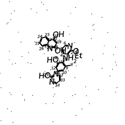 CCOc1ccccn1.Cc1cccc(O)c1N.Oc1cc(O)c2ccccc2n1.Oc1ncccn1